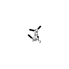 C[SiH3].C[SiH](C)C